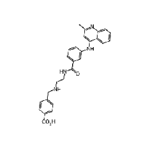 Cc1cc(Nc2cccc(C(=O)NCCNCc3ccc(C(=O)O)cc3)c2)c2ccccc2n1